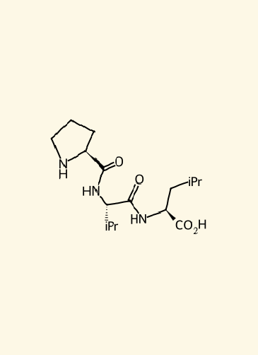 CC(C)C[C@H](NC(=O)[C@@H](NC(=O)[C@@H]1CCCN1)C(C)C)C(=O)O